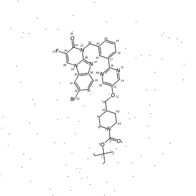 CC(C)(C)OC(=O)N1CCC(COc2cnc(-c3cccc(Cn4c(=O)c(F)cn5c6cc(Br)ccc6nc45)c3)nc2)CC1